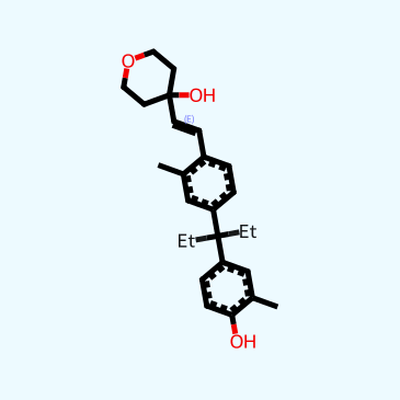 CCC(CC)(c1ccc(O)c(C)c1)c1ccc(/C=C/C2(O)CCOCC2)c(C)c1